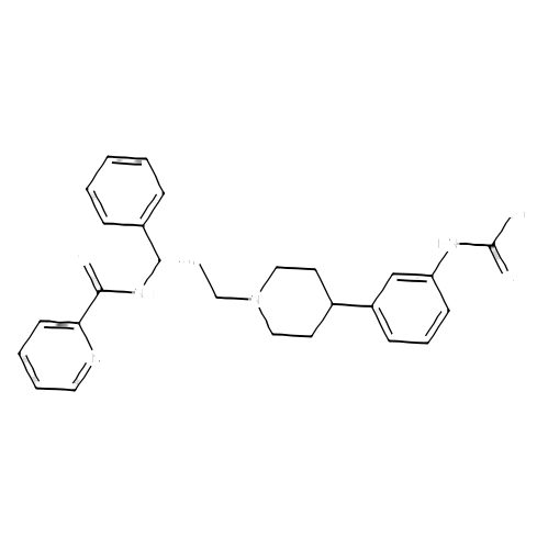 CC(C)C(=O)Nc1cccc(C2CCN(CC[C@H](NC(=O)c3ccccn3)c3ccccc3)CC2)c1